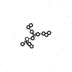 C1=Cc2c(c3cc4ccccc4cc3n2-c2ccccc2)C(c2cccc(N(c3ccc(-c4ccc5c(ccc6ccccc65)c4)cc3)c3ccc(-c4cccc5ccccc45)cc3)c2)C1